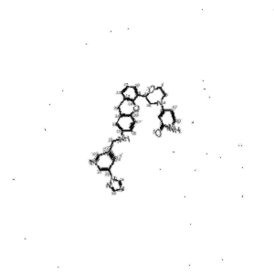 O=c1cc(N2CCOC(c3cccc4c3Oc3ccc(NCc5cncc(-n6cncn6)c5)cc3C4)C2)cc[nH]1